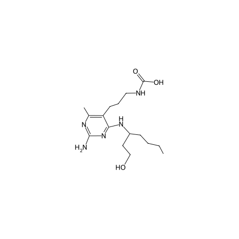 CCCCC(CCO)Nc1nc(N)nc(C)c1CCCNC(=O)O